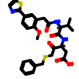 COc1ccc(-c2nccs2)cc1CC(=O)N[C@H](C(=O)N[C@@H](CC(=O)O)C(=O)CSCc1ccccc1)C(C)C